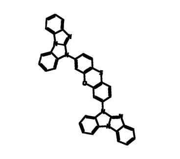 c1ccc2c(c1)nc1n(-c3ccc4c(c3)Oc3cc(-n5c6ccccc6n6c7ccccc7nc56)ccc3S4)c3ccccc3n21